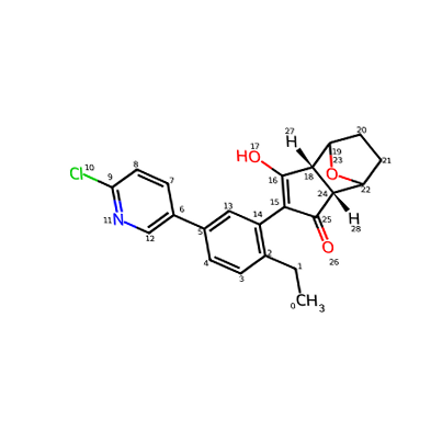 CCc1ccc(-c2ccc(Cl)nc2)cc1C1=C(O)[C@@H]2C3CCC(O3)[C@@H]2C1=O